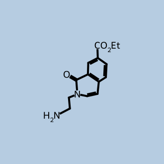 CCOC(=O)c1ccc2ccn(CCN)c(=O)c2c1